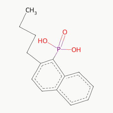 CCCCc1ccc2ccccc2c1P(=O)(O)O